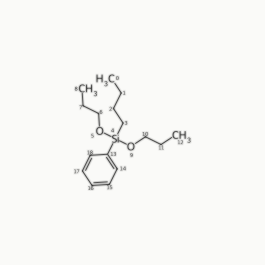 CCCC[Si](OCCC)(OCCC)c1ccccc1